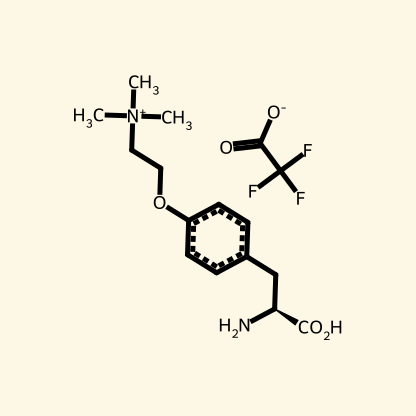 C[N+](C)(C)CCOc1ccc(C[C@H](N)C(=O)O)cc1.O=C([O-])C(F)(F)F